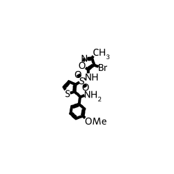 COc1cccc(C(N)c2sccc2S(=O)(=O)Nc2onc(C)c2Br)c1